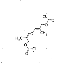 C/C(=C/O/C=C(\C)COC(=O)Cl)COC(=O)Cl